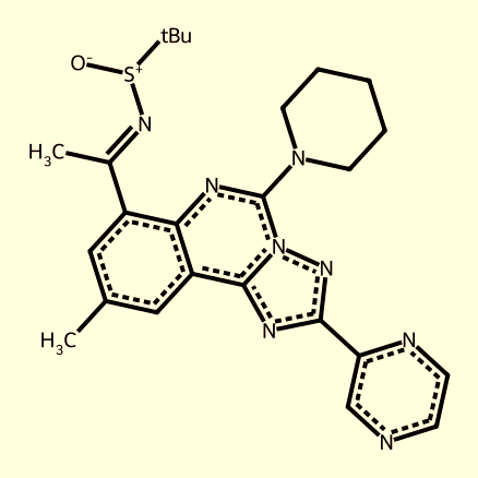 CC(=N[S+]([O-])C(C)(C)C)c1cc(C)cc2c1nc(N1CCCCC1)n1nc(-c3cnccn3)nc21